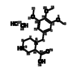 COc1cc(CN2CCNCC2C(=O)O)cc(OC)c1OC.Cl.Cl